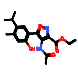 CCOC(=O)c1noc(-c2cc(C(C)C)c(C)cc2O)c1NC(C)=O